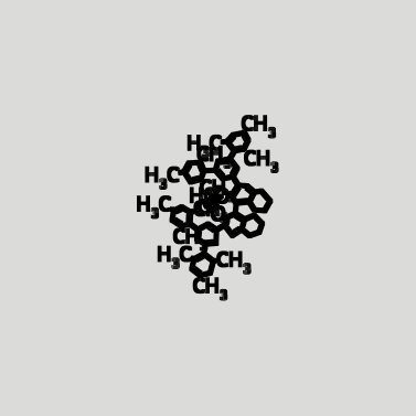 CC1=CC(C)=C(c2cc(-c3cc4c(c5c3OP(=O)(O)Oc3c(-c6cc(-c7c(C)cc(C)cc7C)cc(-c7c(C)cc(C)cc7C)c6)cc6c(c3-5)CCCC6)CCCC4)cc(-c3c(C)cc(C)cc3C)c2)C(C)C1